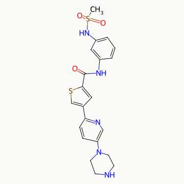 CS(=O)(=O)Nc1cccc(NC(=O)c2cc(-c3ccc(N4CCNCC4)cn3)cs2)c1